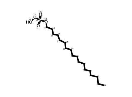 CCCCCCCCCCCCCCCCCCOS(=O)(=O)OO